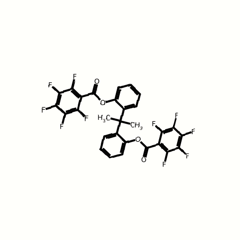 CC(C)(c1ccccc1OC(=O)c1c(F)c(F)c(F)c(F)c1F)c1ccccc1OC(=O)c1c(F)c(F)c(F)c(F)c1F